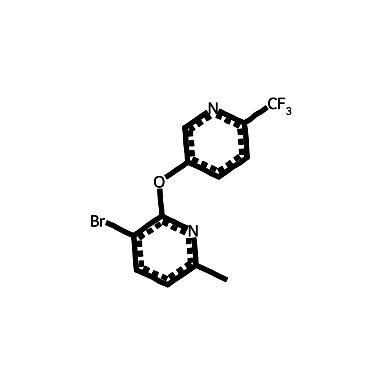 Cc1ccc(Br)c(Oc2ccc(C(F)(F)F)nc2)n1